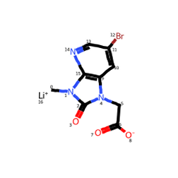 Cn1c(=O)n(CC(=O)[O-])c2cc(Br)cnc21.[Li+]